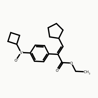 CCOC(=O)/C(=C/C1CCCC1)c1ccc([S+]([O-])C2CCC2)cc1